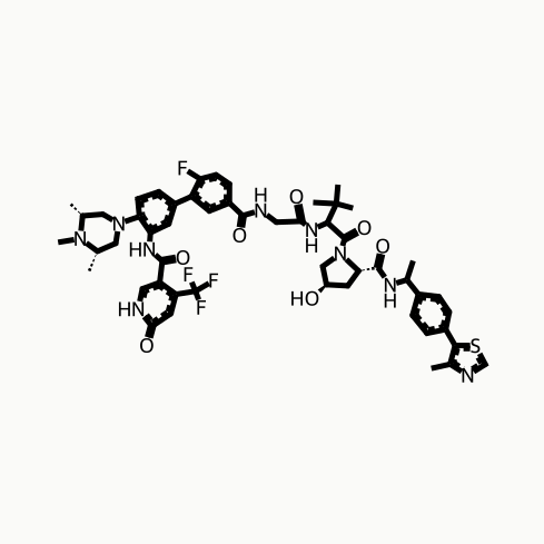 Cc1ncsc1-c1ccc(C(C)NC(=O)[C@@H]2C[C@@H](O)CN2C(=O)C(NC(=O)CNC(=O)c2ccc(F)c(-c3ccc(N4C[C@@H](C)N(C)[C@@H](C)C4)c(NC(=O)c4c[nH]c(=O)cc4C(F)(F)F)c3)c2)C(C)(C)C)cc1